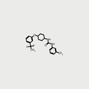 CC(F)(F)c1cccc(OC2CCC(NC(=O)Nc3cccc(C(F)(F)F)c3)CC2)c1